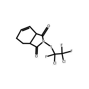 O=C1C2C=CCCC2C(=O)N1SC(F)(Cl)C(F)(F)Cl